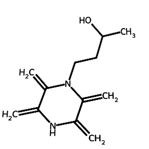 C=C1NC(=C)C(=C)N(CCC(C)O)C1=C